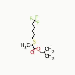 CC(C)COC(=O)C(C)SCCCCCC(F)(F)F